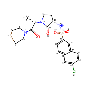 C[C@@H](C(=O)N1CCSCC1)N1CC[C@H](NS(=O)(=O)c2ccc3cc(Cl)ccc3c2)C1=O